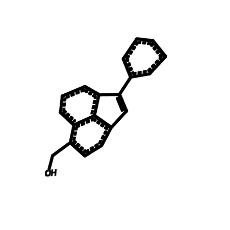 OCc1ccc2c3c(cccc13)C(c1ccccc1)=C2